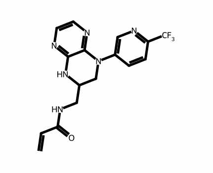 C=CC(=O)NCC1CN(c2ccc(C(F)(F)F)nc2)c2nccnc2N1